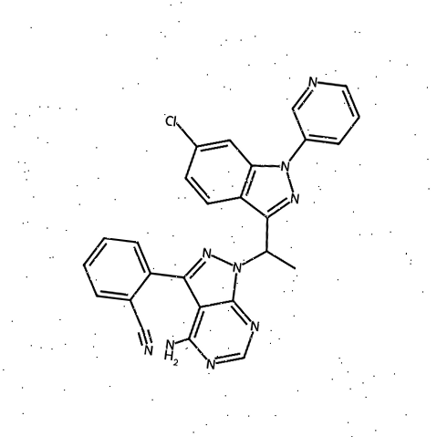 CC(c1nn(-c2cccnc2)c2cc(Cl)ccc12)n1nc(-c2ccccc2C#N)c2c(N)ncnc21